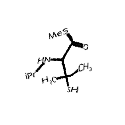 CSC(=O)C(NC(C)C)C(C)(C)S